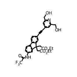 CCOC(=O)CC1(CC(=O)OCC)c2cc(C#Cc3cc(CO)nc(CO)c3)ccc2-c2ccc(NC(=O)C(F)(F)F)cc21